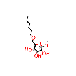 CCCCCCOCC1O[C@H](OC)C(O)C(O)[C@@H]1O